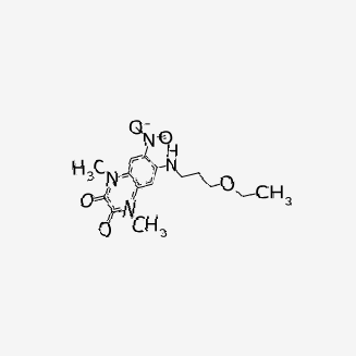 CCOCCCNc1cc2c(cc1[N+](=O)[O-])n(C)c(=O)c(=O)n2C